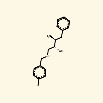 Cc1ccc(CNC[C@@H](O)[C@@H](N)Cc2ccccc2)cc1